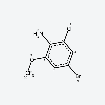 Nc1c(Cl)cc(Br)cc1OC(F)(F)F